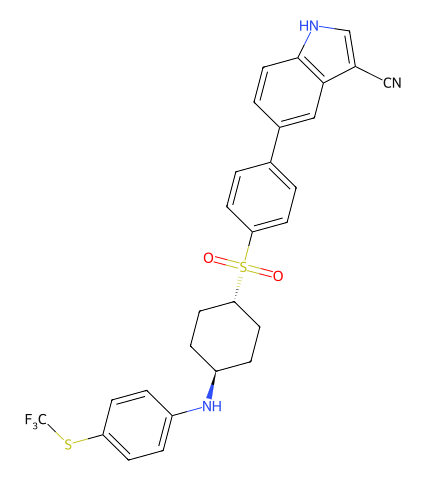 N#Cc1c[nH]c2ccc(-c3ccc(S(=O)(=O)[C@H]4CC[C@H](Nc5ccc(SC(F)(F)F)cc5)CC4)cc3)cc12